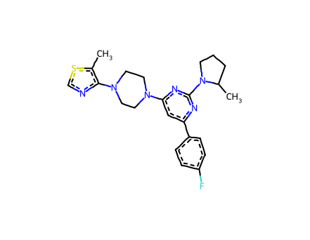 Cc1scnc1N1CCN(c2cc(-c3ccc(F)cc3)nc(N3CCCC3C)n2)CC1